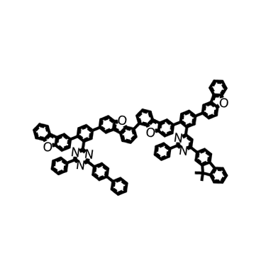 CC1(C)c2ccccc2-c2ccc(-c3cc(-c4cc(-c5ccc6oc7ccccc7c6c5)ccc4-c4ccc5oc6c(-c7cccc8c7oc7ccc(-c9ccc(-c%10ccc%11oc%12ccccc%12c%11c%10)c(-c%10nc(-c%11ccccc%11)nc(-c%11ccc(-c%12ccccc%12)cc%11)n%10)c9)cc78)cccc6c5c4)nc(-c4ccccc4)n3)cc21